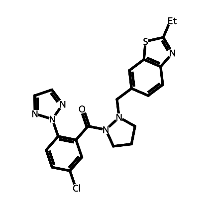 CCc1nc2ccc(CN3CCCN3C(=O)c3cc(Cl)ccc3-n3nccn3)cc2s1